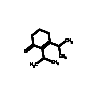 CC(C)C1=C(C(C)C)C(=O)CCC1